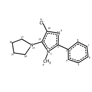 Cn1c(-c2ccccc2)nc(Cl)c1N1CCCC1